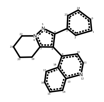 c1ccc(-c2nn3c(c2-c2ccnc4ccccc24)CCCC3)cc1